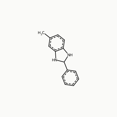 Cc1ccc2c(c1)NC(c1ccccc1)N2